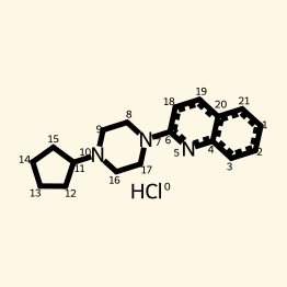 Cl.c1ccc2nc(N3CCN(C4CCCC4)CC3)ccc2c1